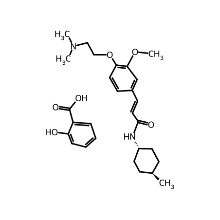 COc1cc(C=CC(=O)N[C@H]2CC[C@H](C)CC2)ccc1OCCN(C)C.O=C(O)c1ccccc1O